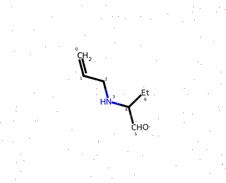 C=CCNC([C]=O)CC